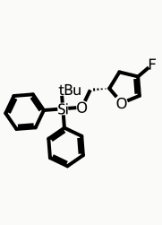 CC(C)(C)[Si](OC[C@@H]1CC(F)=CO1)(c1ccccc1)c1ccccc1